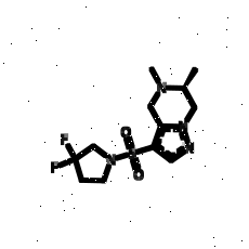 C[C@H]1Cn2ncc(S(=O)(=O)N3CCC(F)(F)C3)c2CN1C